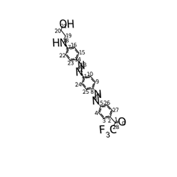 O=C(c1ccc(N=Nc2ccc(N=Nc3ccc(NCCO)cc3)cc2)cc1)C(F)(F)F